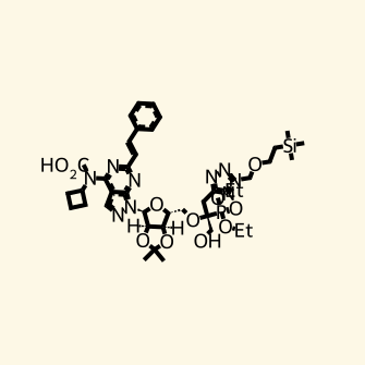 CCOP(=O)(OCC)[C@@](CO)(Cc1nnn(COCC[Si](C)(C)C)n1)OC[C@H]1O[C@@H](n2ncc3c(N(C(=O)O)C4CCC4)nc(/C=C/c4ccccc4)nc32)[C@@H]2OC(C)(C)O[C@@H]21